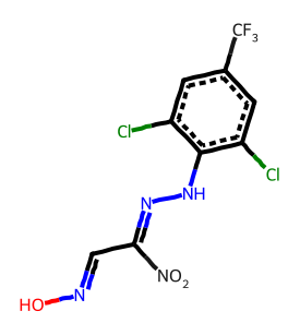 O=[N+]([O-])C(/C=N/O)=N\Nc1c(Cl)cc(C(F)(F)F)cc1Cl